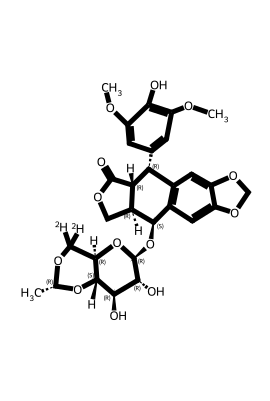 [2H]C1([2H])O[C@@H](C)O[C@H]2[C@H](O)[C@@H](O)[C@H](O[C@@H]3c4cc5c(cc4[C@@H](c4cc(OC)c(O)c(OC)c4)[C@H]4C(=O)OC[C@@H]43)OCO5)O[C@@H]21